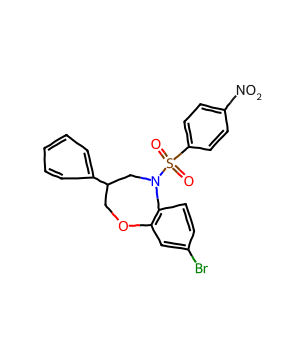 O=[N+]([O-])c1ccc(S(=O)(=O)N2CC(c3ccccc3)COc3cc(Br)ccc32)cc1